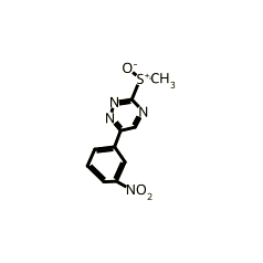 C[S+]([O-])c1ncc(-c2cccc([N+](=O)[O-])c2)nn1